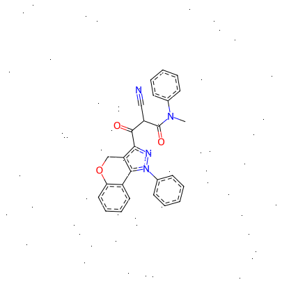 CN(C(=O)C(C#N)C(=O)c1nn(-c2ccccc2)c2c1COc1ccccc1-2)c1ccccc1